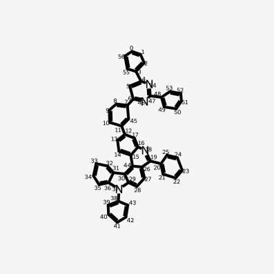 c1ccc(-c2cc(-c3cccc(-c4ccc5c(c4)nc(-c4ccccc4)c4ccc6c(c7ccccc7n6-c6ccccc6)c45)c3)nc(-c3ccccc3)n2)cc1